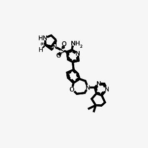 CC1(C)CCc2ncnc(N3CCOc4ccc(-c5cnc(N)c(S(=O)(=O)N6C[C@H]7CC6CN7)c5)cc4C3)c2C1